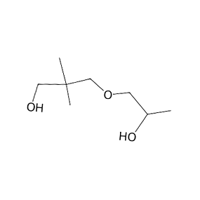 CC(O)COCC(C)(C)CO